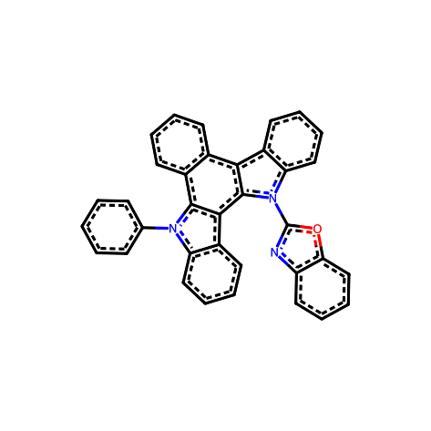 c1ccc(-n2c3ccccc3c3c2c2ccccc2c2c4ccccc4n(-c4nc5ccccc5o4)c23)cc1